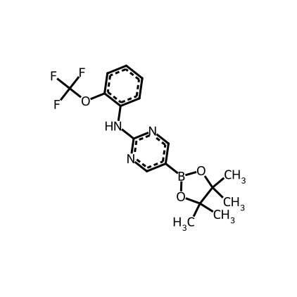 CC1(C)OB(c2cnc(Nc3ccccc3OC(F)(F)F)nc2)OC1(C)C